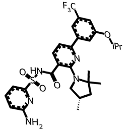 CC(C)Oc1cc(-c2ccc(C(=O)NS(=O)(=O)c3cccc(N)n3)c(N3C[C@@H](C)CC3(C)C)n2)cc(C(F)(F)F)c1